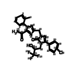 Cc1ccccc1-n1nc(Cn2nc(-c3ccc(Cl)cc3)n(CC(O)C(F)(F)F)c2=O)nc1C(N)=O